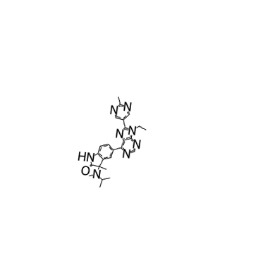 CCn1c(-c2cnc(C)nc2)nc2c(-c3ccc4c(c3)C(C)(N(C)C(C)C)C(=O)N4)ncnc21